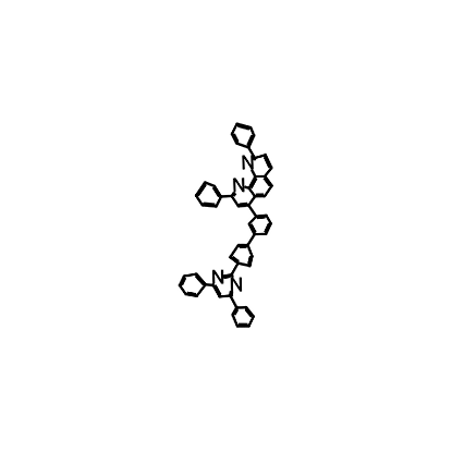 c1ccc(-c2cc(-c3ccccc3)nc(-c3ccc(-c4cccc(-c5cc(-c6ccccc6)nc6c5ccc5ccc(-c7ccccc7)nc56)c4)cc3)n2)cc1